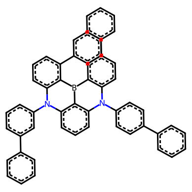 c1ccc(-c2ccc(N3c4ccc(-c5ccccc5)cc4B4c5c(-c6ccccc6)cccc5N(c5cccc(-c6ccccc6)c5)c5cccc3c54)cc2)cc1